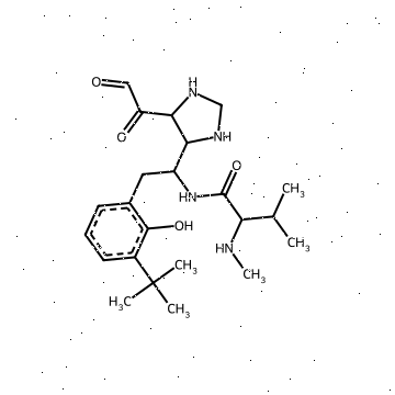 CNC(C(=O)NC(Cc1cccc(C(C)(C)C)c1O)C1NCNC1C(=O)C=O)C(C)C